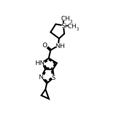 C[Si]1(C)CCC(NC(=O)c2cc3sc(C4CC4)nc3[nH]2)C1